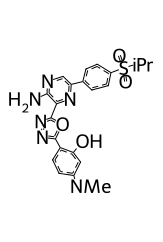 CNc1ccc(-c2nnc(-c3nc(-c4ccc(S(=O)(=O)C(C)C)cc4)cnc3N)o2)c(O)c1